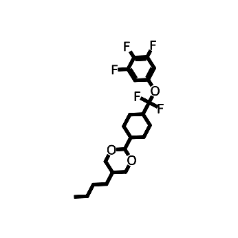 CCCCC1COC(C2CCC(C(F)(F)Oc3cc(F)c(F)c(F)c3)CC2)OC1